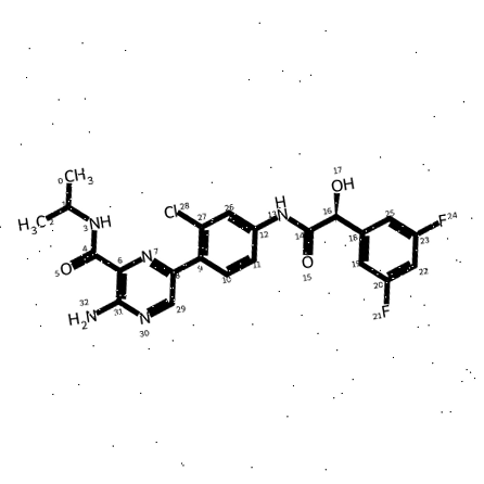 CC(C)NC(=O)c1nc(-c2ccc(NC(=O)[C@@H](O)c3cc(F)cc(F)c3)cc2Cl)cnc1N